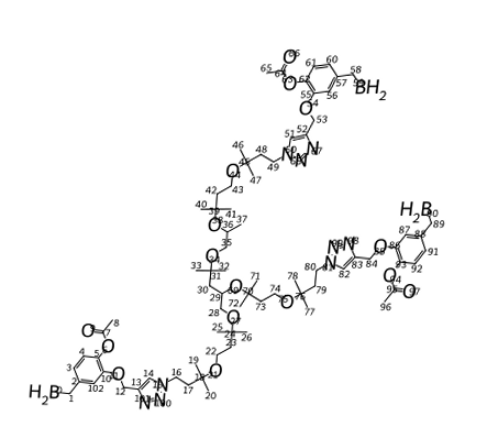 BCc1ccc(OC(C)=O)c(OCc2cn(CCC(C)(C)OCCC(C)(C)OCC(CC(C)(C)OCC(C)OC(C)(C)CCOC(C)(C)CCn3cc(COc4cc(CB)ccc4OC(C)=O)nn3)OC(C)(C)CCOC(C)(C)CCn3cc(COc4cc(CB)ccc4OC(C)=O)nn3)nn2)c1